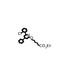 CCOC(=O)CCCCCOc1cc(-c2ccccc2)cc(-c2ccccc2Cl)n1